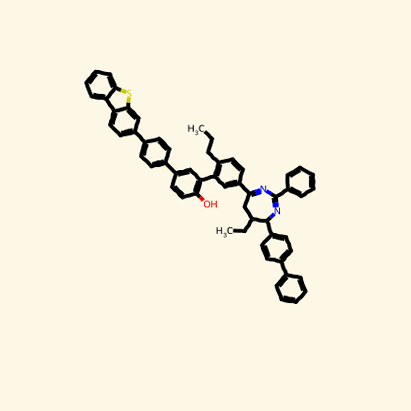 CCCc1ccc(C2=NC(c3ccccc3)=NC(c3ccc(-c4ccccc4)cc3)C(CC)C2)cc1-c1cc(-c2ccc(-c3ccc4c(c3)sc3ccccc34)cc2)ccc1O